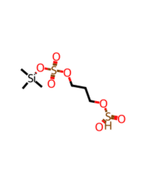 C[Si](C)(C)OS(=O)(=O)OCCCO[SH](=O)=O